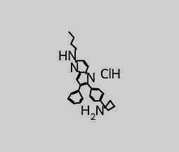 CCCCNc1ccc2nc(-c3ccc(C4(N)CCC4)cc3)c(-c3ccccc3)cc2n1.Cl